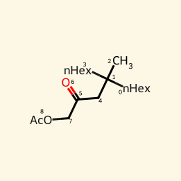 CCCCCCC(C)(CCCCCC)CC(=O)COC(C)=O